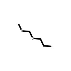 [CH]CCOCOC